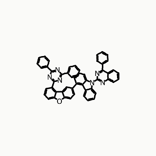 c1ccc(-c2nc(-c3ccccc3)nc(-c3cccc4oc5ccc(-c6cccc7c6c6ccccc6n7-c6nc(-c7ccccc7)c7ccccc7n6)cc5c34)n2)cc1